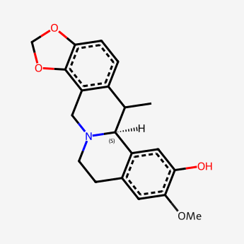 COc1cc2c(cc1O)[C@@H]1C(C)c3ccc4c(c3CN1CC2)OCO4